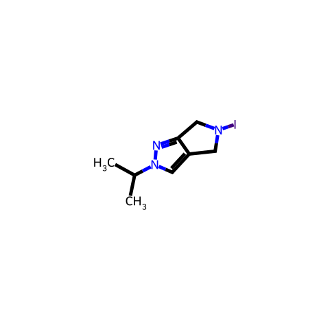 CC(C)n1cc2c(n1)CN(I)C2